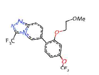 COCCOc1cc(OC(F)(F)F)ccc1-c1ccc2nnc(C(F)(F)F)n2c1